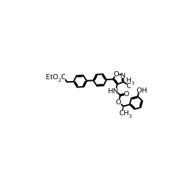 CCOC(=O)Cc1ccc(-c2ccc(-c3onc(C)c3NC(=O)O[C@H](C)c3cccc(O)c3)cc2)cc1